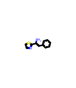 NC(=Cc1ccccc1)c1nccs1